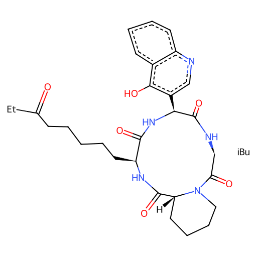 CCC(=O)CCCCC[C@@H]1NC(=O)[C@H]2CCCCN2C(=O)[C@H]([C@H](C)CC)NC(=O)[C@H](c2cnc3ccccc3c2O)NC1=O